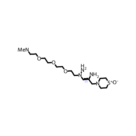 CNCCOCCOCCOCCN(N)/C=C(\N)CN1CC[S+]([O-])CC1